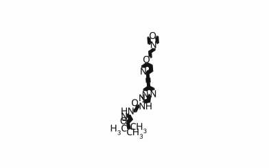 CC(C)(C)c1cc(NCC(=O)Nc2cc3ncc(C#Cc4ccc(OCCCN5CCOCC5)cn4)cn3n2)no1